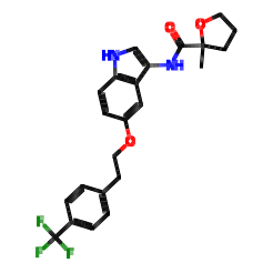 CC1(C(=O)Nc2c[nH]c3ccc(OCCc4ccc(C(F)(F)F)cc4)cc23)CCCO1